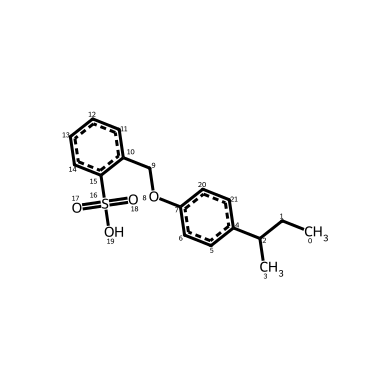 CCC(C)c1ccc(OCc2ccccc2S(=O)(=O)O)cc1